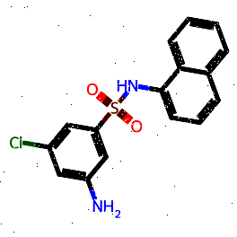 Nc1cc(Cl)cc(S(=O)(=O)Nc2cccc3ccccc23)c1